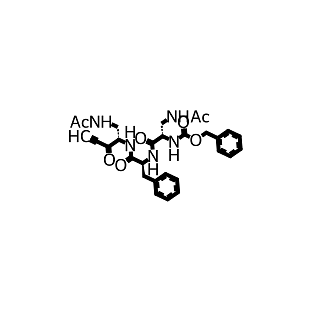 C#CC(=O)[C@H](CNC(C)=O)NC(=O)[C@H](Cc1ccccc1)NC(=O)[C@H](CNC(C)=O)NC(=O)OCc1ccccc1